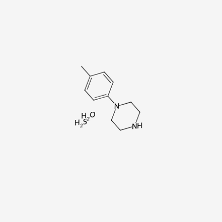 Cc1ccc(N2CCNCC2)cc1.O.S